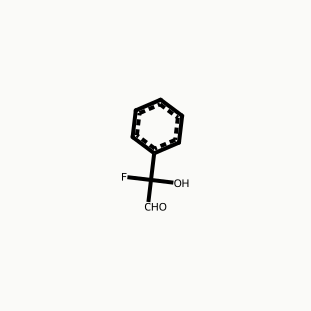 O=CC(O)(F)c1ccccc1